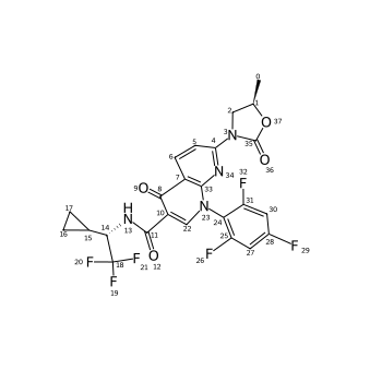 C[C@@H]1CN(c2ccc3c(=O)c(C(=O)N[C@@H](C4CC4)C(F)(F)F)cn(-c4c(F)cc(F)cc4F)c3n2)C(=O)O1